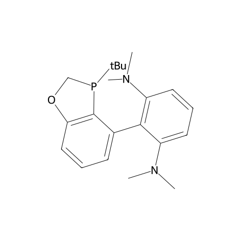 CN(C)c1cccc(N(C)C)c1-c1cccc2c1P(C(C)(C)C)CO2